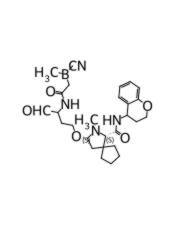 CB(C#N)CC(=O)NC(C=O)CCO[C@H]1CC2(CCCC2)[C@@H](C(=O)NC2CCOc3ccccc32)N1C